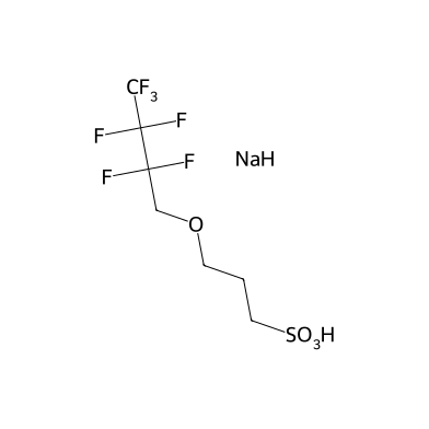 O=S(=O)(O)CCCOCC(F)(F)C(F)(F)C(F)(F)F.[NaH]